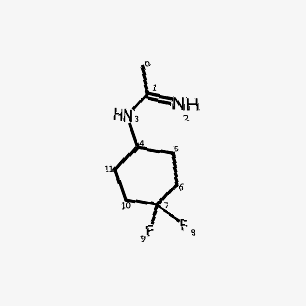 CC(=N)NC1CCC(F)(F)CC1